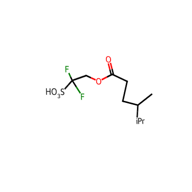 CC(C)C(C)CCC(=O)OCC(F)(F)S(=O)(=O)O